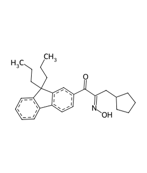 CCCC1(CCC)c2ccccc2-c2ccc(C(=O)C(CC3CCCC3)=NO)cc21